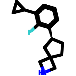 Fc1c(C2CC2)cccc1[C@@H]1CCC2(CNC2)C1